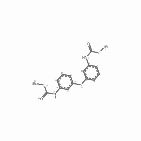 CC(C)(C)OC(=O)Nc1cccc(Sc2cccc(NC(=O)OC(C)(C)C)c2)c1